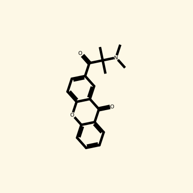 CN(C)C(C)(C)C(=O)c1ccc2oc3ccccc3c(=O)c2c1